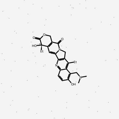 CCc1c2c(nc3ccc(O)c(CN(C)C)c13)-c1cc3c(c(=O)n1C2)COC(=O)[C@]3(O)CC